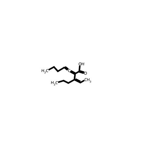 CC=C(CCC)C(=C=CCCC)C(=O)O